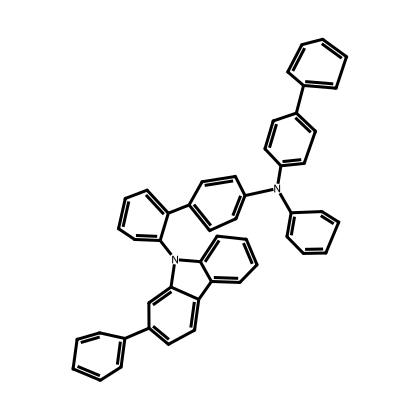 c1ccc(-c2ccc(N(c3ccccc3)c3ccc(-c4ccccc4-n4c5ccccc5c5ccc(-c6ccccc6)cc54)cc3)cc2)cc1